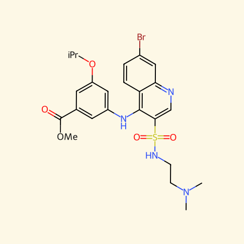 COC(=O)c1cc(Nc2c(S(=O)(=O)NCCN(C)C)cnc3cc(Br)ccc23)cc(OC(C)C)c1